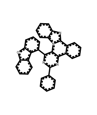 c1ccc(-c2nc(-c3cccc4oc5ccccc5c34)c3c(n2)c2ccccc2c2nc4ccccc4n23)cc1